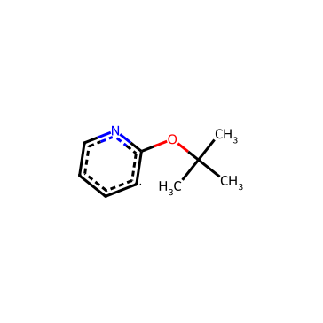 CC(C)(C)Oc1[c]cccn1